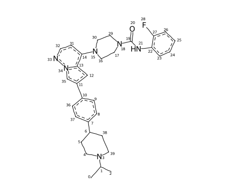 CC(C)N1CCC(c2ccc(-c3cc4c(N5CCN(C(=O)Nc6ccccc6F)CC5)ccnn4c3)cc2)CC1